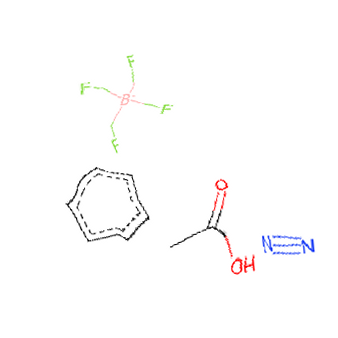 CC(=O)O.F[B-](F)(F)F.N#N.c1ccccc1